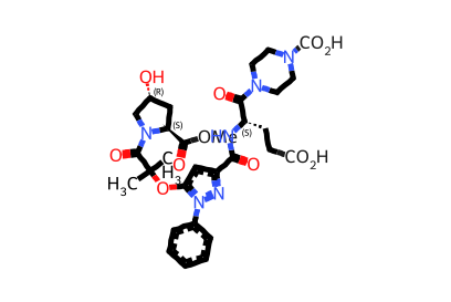 COC(=O)[C@@H]1C[C@@H](O)CN1C(=O)C(C)(C)Oc1cc(C(=O)N[C@@H](CCC(=O)O)C(=O)N2CCN(C(=O)O)CC2)nn1-c1ccccc1